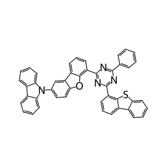 c1ccc(-c2nc(-c3cccc4c3oc3ccc(-n5c6ccccc6c6ccccc65)cc34)nc(-c3cccc4c3sc3ccccc34)n2)cc1